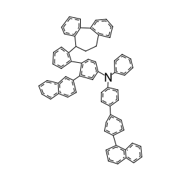 c1ccc(N(c2ccc(-c3ccc(-c4cccc5ccccc45)cc3)cc2)c2ccc(-c3ccccc3C3CCc4ccccc4-c4ccccc43)c(-c3ccc4ccccc4c3)c2)cc1